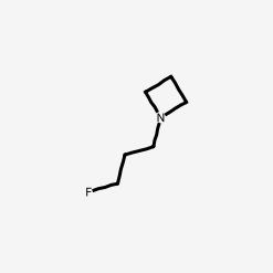 FCCCN1CCC1